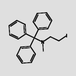 CN(CCI)C(c1ccccc1)(c1ccccc1)c1ccccc1